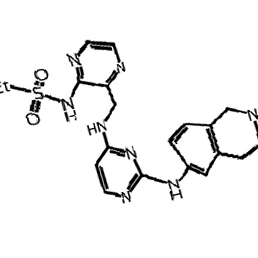 CCS(=O)(=O)Nc1nccnc1CNc1ccnc(Nc2ccc3c(c2)CCNC3)n1